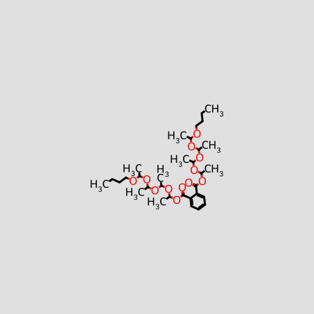 CCCCOC(C)OC(C)OC(C)OC(C)OC(=O)c1ccccc1C(=O)OC(C)OC(C)OC(C)OC(C)OCCCC